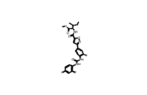 CCC(C)C(NC(=O)c1cc(-c2ccc(NC(=O)Nc3ccc(F)cc3F)c(F)c2)no1)C(=O)OC